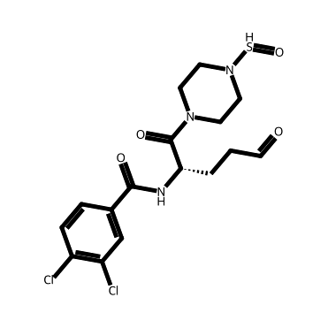 O=CCC[C@H](NC(=O)c1ccc(Cl)c(Cl)c1)C(=O)N1CCN([SH]=O)CC1